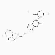 CC(F)c1cnc(N)nc1-c1cc2ccn(CCC[C@H](C)NC3=C(C(F)(F)F)C(=O)NCN=C3)c(=O)c2cc1F